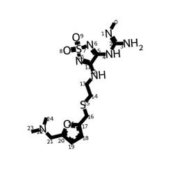 CN=C(N)NC1=NS(=O)(=O)N=C1NCCSCc1ccc(CN(C)C)o1